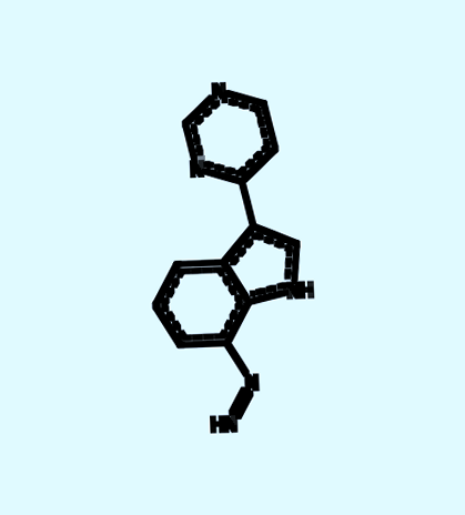 N=Nc1cccc2c(-c3ccncn3)c[nH]c12